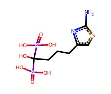 Nc1nc(CCCC(O)(P(=O)(O)O)P(=O)(O)O)cs1